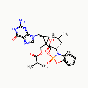 CC(C)C[C@@H](C(=O)O)N(C(C)C)[P@](=O)(OCC1(COC(=O)C(C)C)C/C1=C/n1cnc2c(=O)[nH]c(N)nc21)Oc1ccccc1